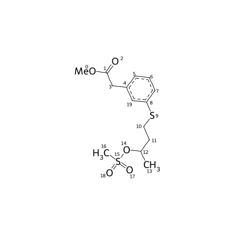 COC(=O)Cc1cccc(SCCC(C)OS(C)(=O)=O)c1